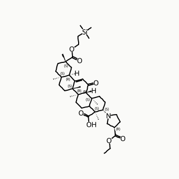 CCOC(=O)[C@@H]1CCN([C@H]2CC[C@@]3(C)C(CC[C@]4(C)[C@@H]3C(=O)C=C3[C@@H]5C[C@@](C)(C(=O)OCC[Si](C)(C)C)CC[C@]5(C)CC[C@]34C)[C@]2(C)C(=O)O)C1